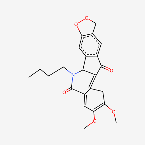 CCCCN1C(=O)C2=CC(OC)=C(OC)CC2=C2C(=O)c3cc4c(cc3C21)OOC4